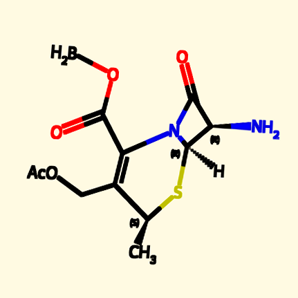 BOC(=O)C1=C(COC(C)=O)[C@H](C)S[C@@H]2[C@H](N)C(=O)N12